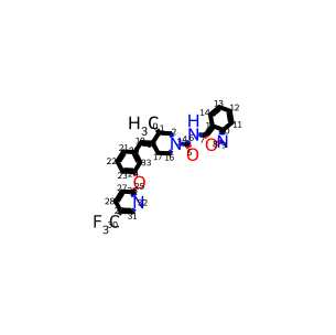 CC1CN(C(=O)Nc2onc3ccccc23)CCC1=Cc1cccc(Oc2ccc(C(F)(F)F)cn2)c1